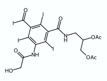 CC(=O)OCC(CNC(=O)c1c(I)c(NC(=O)CO)c(I)c(C(=O)I)c1I)OC(C)=O